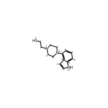 SCCN1CCN(c2cccc3[nH]ccc23)CC1